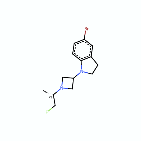 C[C@@H](CF)N1CC(N2CCc3cc(Br)ccc32)C1